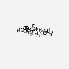 CC(C)(C)C=NCC1CN(c2c(F)cc3c(=O)c(OC(=O)O)cn(C4CC4)c3c2F)C1